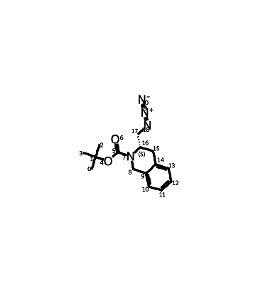 CC(C)(C)OC(=O)N1Cc2ccccc2C[C@H]1CN=[N+]=[N-]